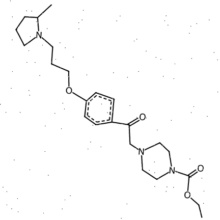 CCOC(=O)N1CCN(CC(=O)c2ccc(OCCCN3CCCC3C)cc2)CC1